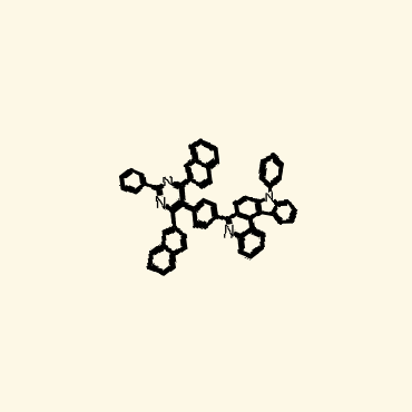 c1ccc(-c2nc(-c3ccc4ccccc4c3)c(-c3ccc(-c4nc5ccccc5c5c4ccc4c5c5ccccc5n4-c4ccccc4)cc3)c(-c3ccc4ccccc4c3)n2)cc1